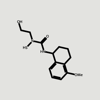 COc1cccc2c1CCCC2NC(=O)N(S)CCO